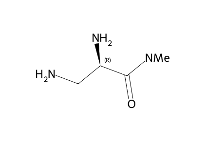 CNC(=O)[C@H](N)CN